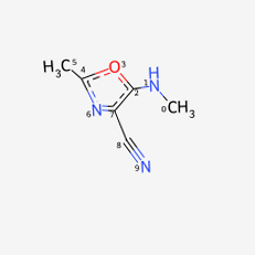 CNc1oc(C)nc1C#N